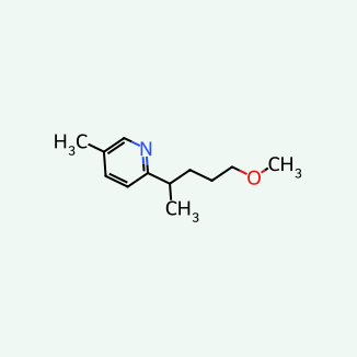 COCCCC(C)c1ccc(C)cn1